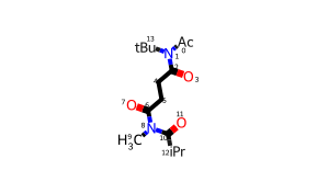 CC(=O)N(C(=O)CCC(=O)N(C)C(=O)C(C)C)C(C)(C)C